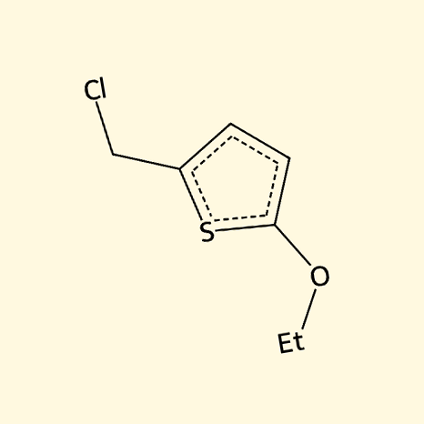 CCOc1ccc(CCl)s1